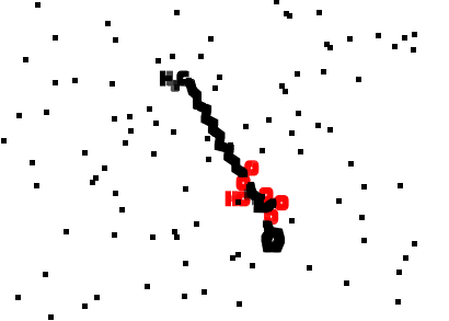 CCCCCCCCCCCCCCCC(=O)OC[C@@H](O)[C@@H]1C=C(OCc2ccccc2)C(=O)O1